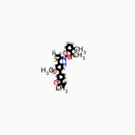 COc1cc(-c2sc(F)cc2NC(=O)O[C@H](C)c2ccccc2C)ccc1-c1ccc(C2(C(C)=O)CC2)cc1